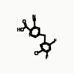 N#Cc1cc(Cc2cc(Cl)c(F)cc2F)cnc1C(=O)O